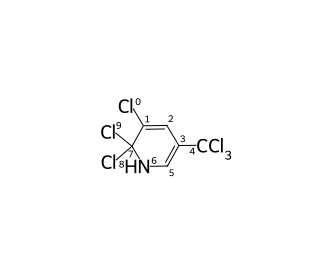 ClC1=CC(C(Cl)(Cl)Cl)=CNC1(Cl)Cl